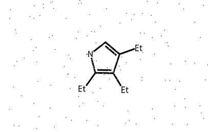 CCC1=C[N]C(CC)=C1CC